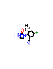 Cc1cc(F)cc(C#N)c1-n1cc[nH]c1=O